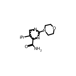 CC(C)c1cnc(N2CCOCC2)nc1C(N)=O